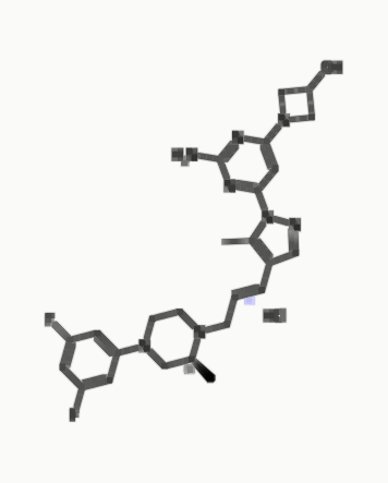 Cc1c(/C=C/CN2CCN(c3cc(F)cc(F)c3)C[C@@H]2C)cnn1-c1cc(N2CC(O)C2)nc(N)n1.Cl